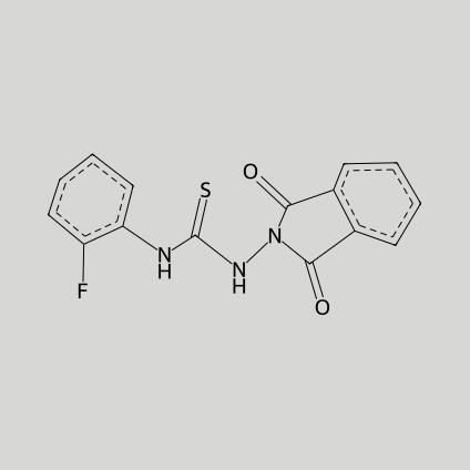 O=C1c2ccccc2C(=O)N1NC(=S)Nc1ccccc1F